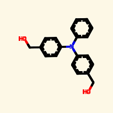 OCc1ccc(N(c2ccccc2)c2ccc(CO)cc2)cc1